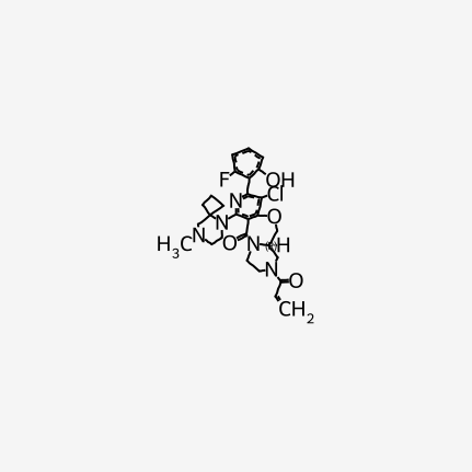 C=CC(=O)N1CCN2C(=O)c3c(N4CCN(C)CC45CCC5)nc(-c4c(O)cccc4F)c(Cl)c3OC[C@H]2C1